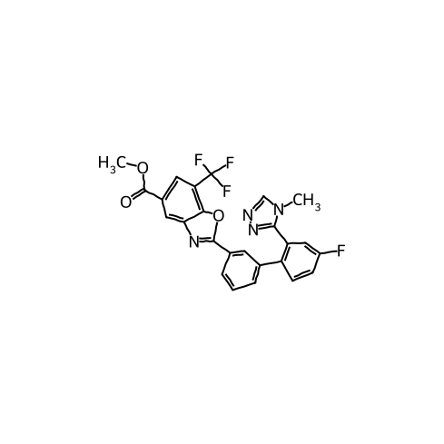 COC(=O)c1cc(C(F)(F)F)c2oc(-c3cccc(-c4ccc(F)cc4-c4nncn4C)c3)nc2c1